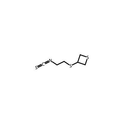 S=C=NCCSC1CSC1